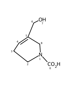 O=C(O)N1CCC=C(CO)C1